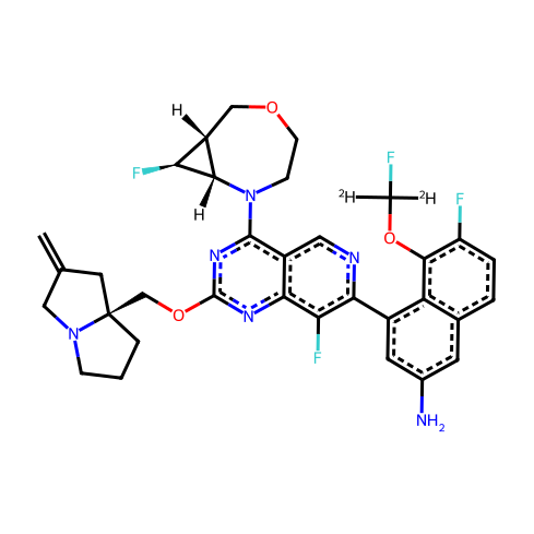 [2H]C([2H])(F)Oc1c(F)ccc2cc(N)cc(-c3ncc4c(N5CCOC[C@H]6[C@H](F)[C@H]65)nc(OC[C@@]56CCCN5CC(=C)C6)nc4c3F)c12